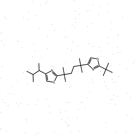 CC(C)C(C)c1csc(C(C)(C)CCC(C)(C)c2coc(C(C)(C)C)n2)n1